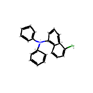 Brc1cccc2c(N(c3ccccc3)c3ccccc3)cccc12